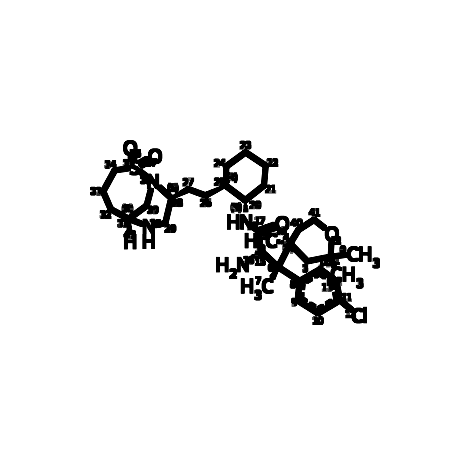 CC1(C)C[C@@](C)([C@](C)(c2ccc(Cl)cc2)[C@H](N)C(=O)N[C@H]2CCCC[C@@H]2CC[C@H]2CN[C@@H]3CCCS(=O)(=O)N2C3)CCO1